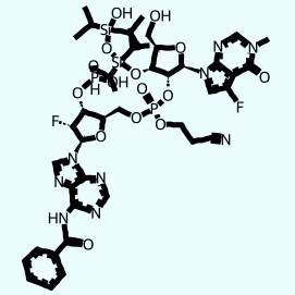 CC(C)[Si](O)(O[Si](O[C@H]1[C@@H](OP(=O)(OCCC#N)OC[C@H]2O[C@@H](n3cnc4c(NC(=O)c5ccccc5)ncnc43)[C@H](F)[C@@H]2O[PH](=O)O)[C@H](n2cc(F)c3c(=O)n(C)cnc32)O[C@@H]1CO)(C(C)C)C(C)C)C(C)C